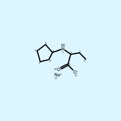 CCC(NC1CCCC1)C(=O)[O-].[Na+]